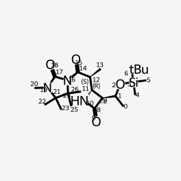 CC(O[Si](C)(C)C(C)(C)C)[C@H]1C(=O)N[C@@H]1[C@H](C)C(=O)N1C(=O)N(C)C(C)(C)C1(C)C